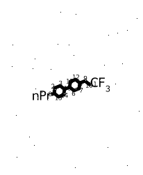 CCCC1CCC(C2CCC(CCC(F)(F)F)CC2)CC1